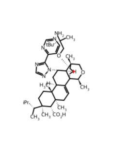 CC(C)[C@@H](C)[C@@]1(C)CC[C@]2(C)[C@H]3CC[C@H]4[C@]5(C)CO[C@@H](C)[C@@]4(C[C@@H](n4ncnc4-c4ccncn4)[C@@H]5OC[C@](C)(N)C(C)(C)C)C3=CC[C@@]2(C)[C@@H]1C(=O)O